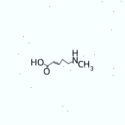 CNCC/C=C/C(=O)O